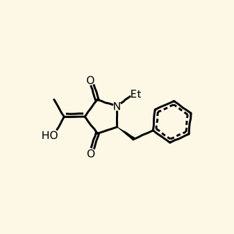 CCN1C(=O)/C(=C(\C)O)C(=O)[C@@H]1Cc1ccccc1